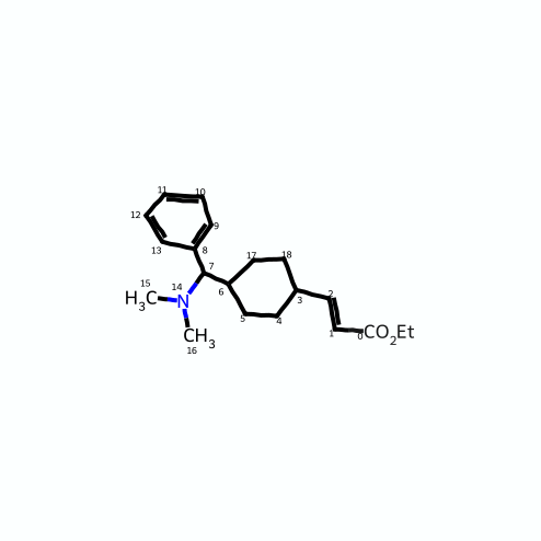 CCOC(=O)C=CC1CCC(C(c2ccccc2)N(C)C)CC1